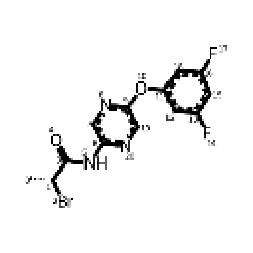 C[C@@H](Br)C(=O)Nc1cnc(Oc2cc(F)cc(F)c2)cn1